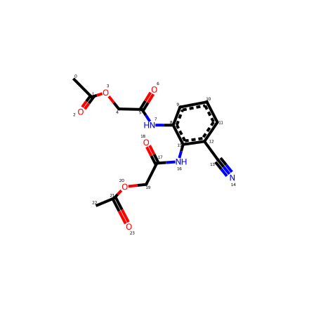 CC(=O)OCC(=O)Nc1cccc(C#N)c1NC(=O)COC(C)=O